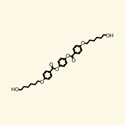 O=C(Oc1ccc(OC(=O)c2ccc(OCCCCCCO)cc2)cc1)c1ccc(OCCCCCCO)cc1